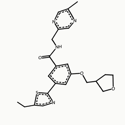 CCc1cnc(-c2cc(OCC3CCOC3)cc(C(=O)NCc3cnc(C)cn3)c2)s1